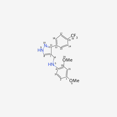 COc1ccc(NCc2c[nH]nc2-c2ccc(C(F)(F)F)cc2)c(OC)c1